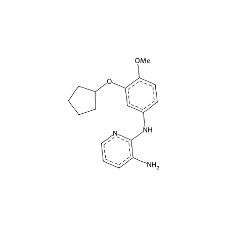 COc1ccc(Nc2ncccc2N)cc1OC1CCCC1